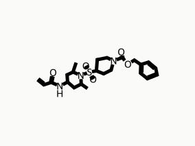 C=CC(=O)NC1CC(C)N(S(=O)(=O)C2CCN(C(=O)OCc3ccccc3)CC2)C(C)C1